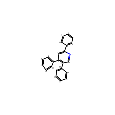 c1ccc(-c2cc(-c3ccccc3)c(-c3ccccc3)cn2)cc1